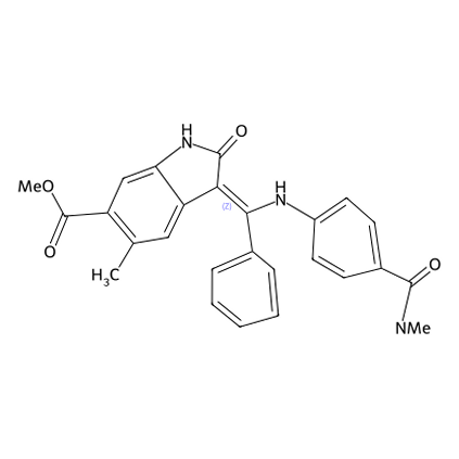 CNC(=O)c1ccc(N/C(=C2\C(=O)Nc3cc(C(=O)OC)c(C)cc32)c2ccccc2)cc1